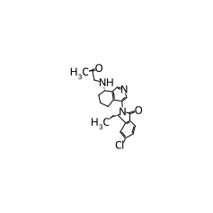 CC[C@@H]1c2cc(Cl)ccc2C(=O)N1c1cncc2c1CCC[C@@H]2NCC(C)=O